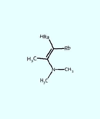 C/C(=[C](/[Rb])[RaH])N(C)C